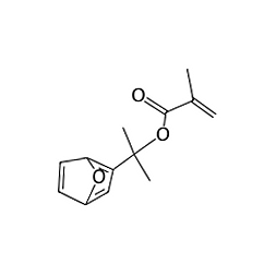 C=C(C)C(=O)OC(C)(C)c1cc2ccc1o2